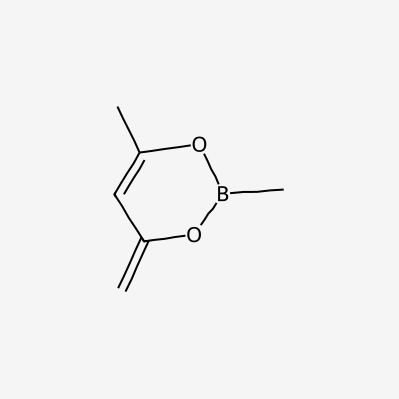 C=C1C=C(C)OB(C)O1